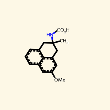 COc1cc2c3c(cccc3c1)CC(C)(NC(=O)O)C2